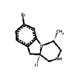 C[C@@H]1CNC[C@H]2Cc3ccc(Br)cc3N21